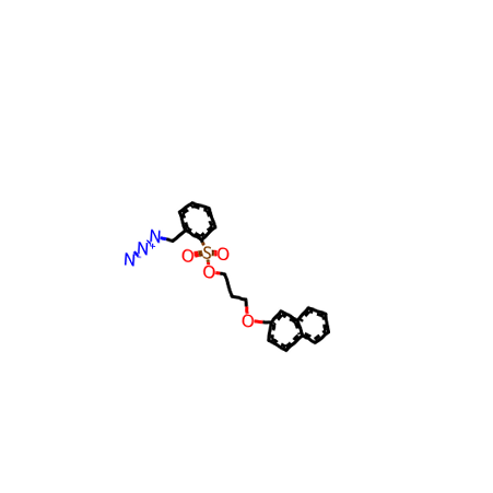 [N-]=[N+]=NCc1ccccc1S(=O)(=O)OCCCOc1ccc2ccccc2c1